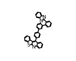 c1ccc2c(-c3ccc(-c4ccc5c(c4)c4ccccc4c4nc6ccccc6n54)cc3)c3c(nc2c1)sc1ccccc13